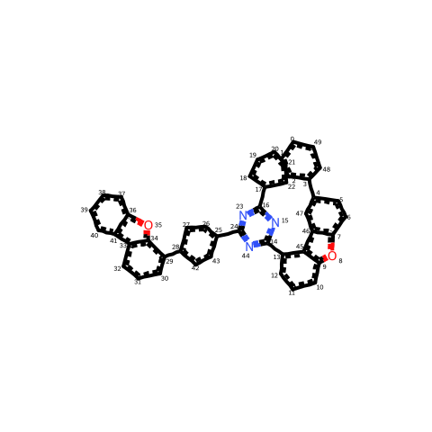 c1ccc(-c2ccc3oc4cccc(-c5nc(-c6ccccc6)nc(-c6ccc(-c7cccc8c7oc7ccccc78)cc6)n5)c4c3c2)cc1